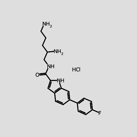 Cl.NCCCC(N)CNC(=O)c1cc2ccc(-c3ccc(F)cc3)cc2[nH]1